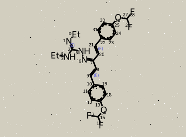 CC/N=C(/NCC)NN=C(/C=C/c1ccc(OC(F)F)cc1)/C=C/c1ccc(OC(F)F)cc1